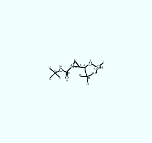 C[SiH](C)OC(C1CN1C(=O)OC(C)(C)C)C(C)(C)C